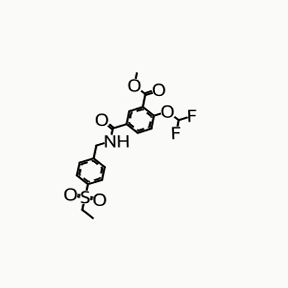 CCS(=O)(=O)c1ccc(CNC(=O)c2ccc(OC(F)F)c(C(=O)OC)c2)cc1